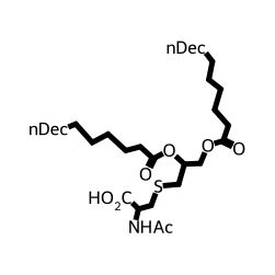 CCCCCCCCCCCCCCCC(=O)OCC(CSCC(NC(C)=O)C(=O)O)OC(=O)CCCCCCCCCCCCCCC